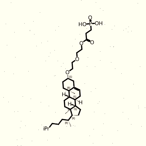 CC(C)CCC[C@@H](C)[C@H]1CC[C@H]2[C@@H]3CC=C4C[C@@H](OCCOCCOC(=O)CCP(=O)(O)O)CC[C@]4(C)[C@H]3CC[C@]12C